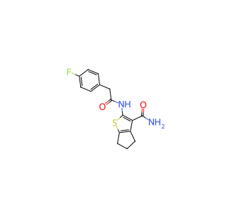 NC(=O)c1c(NC(=O)Cc2ccc(F)cc2)sc2c1CCC2